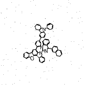 c1cccc(-n2c3c(c4cc(-c5ccc(-c6cc7c8ccccc8oc7c7c8ccccc8n(-c8nc(-c9ccc%10c(c9)CCC=C%10)c9ccccc9n8)c67)cc5)ccc42)CCC=C3)c#1